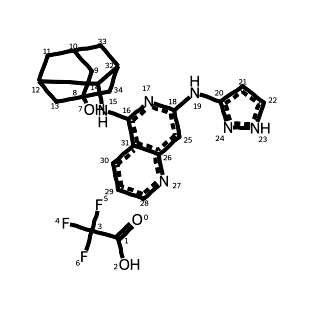 O=C(O)C(F)(F)F.OC12CC3CC(C1)C(Nc1nc(Nc4cc[nH]n4)cc4ncccc14)C(C3)C2